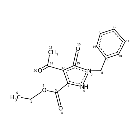 CCOC(=O)c1[nH]n(Cc2ccccc2)c(=O)c1C(C)=O